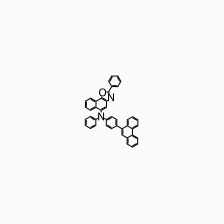 c1ccc(-c2nc3cc(N(c4ccccc4)c4ccc(-c5cc6ccccc6c6ccccc56)cc4)c4ccccc4c3o2)cc1